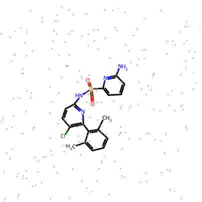 Cc1cccc(C)c1-c1nc(NS(=O)(=O)c2cccc(N)n2)ccc1Cl